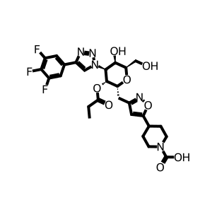 CCC(=O)O[C@@H]1[C@@H](n2cc(-c3cc(F)c(F)c(F)c3)nn2)[C@@H](O)[C@@H](CO)O[C@@H]1Cc1cc(C2CCN(C(=O)O)CC2)on1